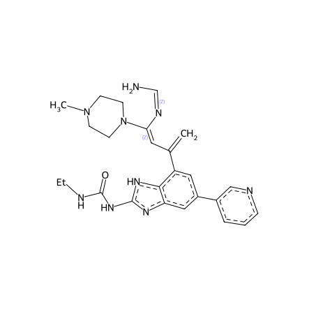 C=C(/C=C(\N=C/N)N1CCN(C)CC1)c1cc(-c2cccnc2)cc2nc(NC(=O)NCC)[nH]c12